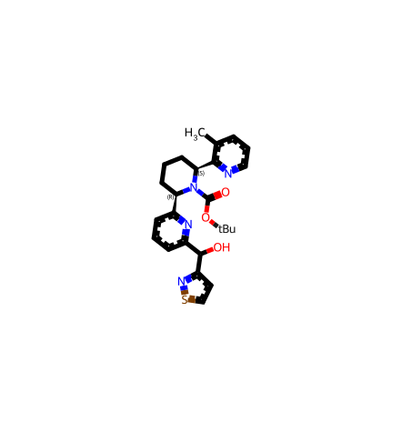 Cc1cccnc1[C@@H]1CCC[C@H](c2cccc(C(O)c3ccsn3)n2)N1C(=O)OC(C)(C)C